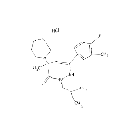 Cc1cc(C2=CC(C)(N3CCCCC3)C(=O)N(CC(C)C)N2)ccc1F.Cl